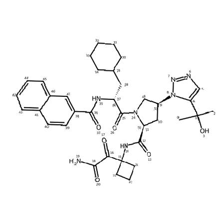 CC(C)(O)c1cnnn1[C@H]1C[C@@H](C(=O)NC2(C(=O)C(N)=O)CCC2)N(C(=O)[C@@H](CC2CCCCC2)NC(=O)c2ccc3ccccc3c2)C1